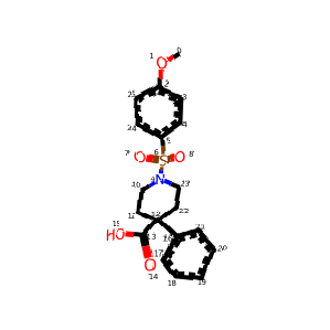 COc1ccc(S(=O)(=O)N2CCC(C(=O)O)(c3ccccc3)CC2)cc1